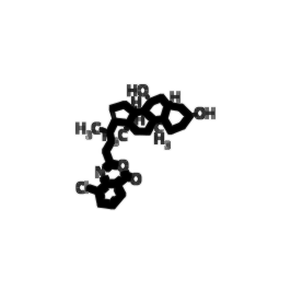 C[C@H](CCc1nc2c(Cl)cccc2c(=O)o1)[C@H]1CC[C@H]2[C@H]3C(CC[C@]12C)[C@@]1(C)CC[C@@H](O)C[C@H]1C[C@H]3O